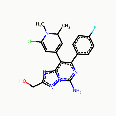 CC1C=C(c2c(-c3ccc(F)cc3)nc(N)n3nc(CO)nc23)C=C(Cl)N1C